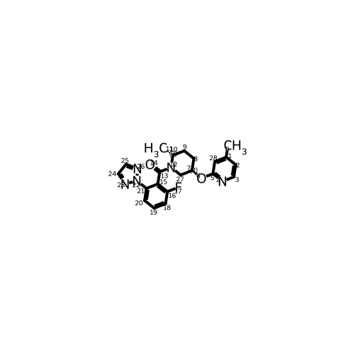 Cc1ccnc(O[C@@H]2CC[C@@H](C)N(C(=O)c3c(F)cccc3-n3nccn3)C2)c1